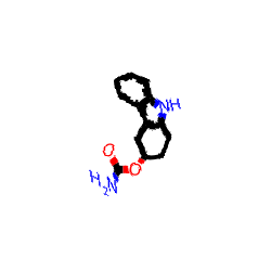 NC(=O)OC1CCc2[nH]c3ccccc3c2C1